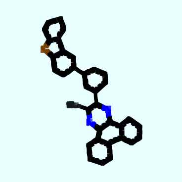 CC(C)(C)c1nc2c3ccccc3c3ccccc3c2nc1-c1cccc(-c2ccc3sc4ccccc4c3c2)c1